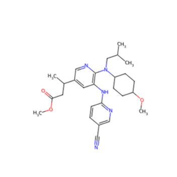 COC(=O)CC(C)c1cnc(N(CC(C)C)C2CCC(OC)CC2)c(Nc2ccc(C#N)cn2)c1